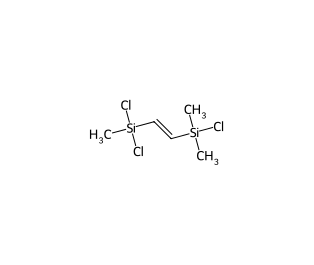 C[Si](C)(Cl)/C=C/[Si](C)(Cl)Cl